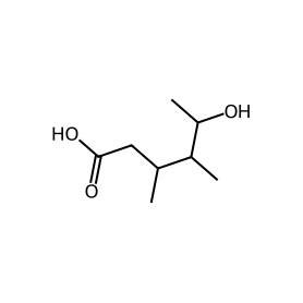 CC(O)C(C)C(C)CC(=O)O